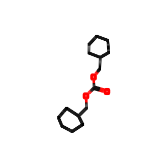 O=C(OCC1CCCCC1)OCC1CCCCC1